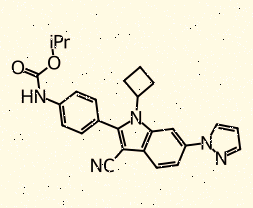 CC(C)OC(=O)Nc1ccc(-c2c(C#N)c3ccc(-n4cccn4)cc3n2C2CCC2)cc1